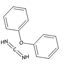 N=C=N.c1ccc(Oc2ccccc2)cc1